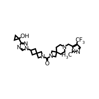 Cn1ncc(C(F)(F)F)c1CN1CCC2(CC1)CN(C(=O)N1CC3(CC(n4cnc(C5(O)CC5)n4)C3)C1)C2